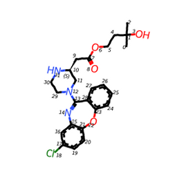 CC(C)(O)CCOC(=O)C[C@H]1CN(C2=Nc3cc(Cl)ccc3Oc3ccccc32)CCN1